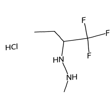 CCC(NNC)C(F)(F)F.Cl